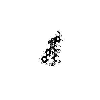 COc1ccc(C(NC(Cc2ccc(-c3ccccc3)cc2)C(=O)NCCC(=O)O)P(=O)(O)O)cc1